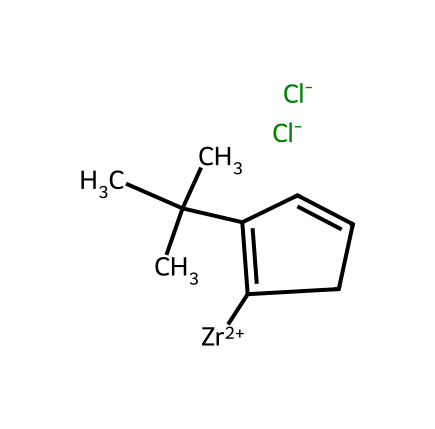 CC(C)(C)C1=[C]([Zr+2])CC=C1.[Cl-].[Cl-]